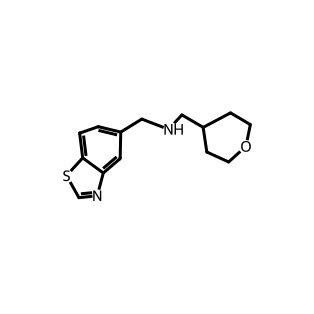 c1nc2cc(CNCC3CCOCC3)ccc2s1